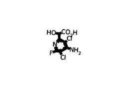 Nc1c(Cl)c(F)nc(C(O)C(=O)O)c1Cl